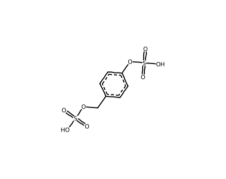 O=S(=O)(O)OCc1ccc(OS(=O)(=O)O)cc1